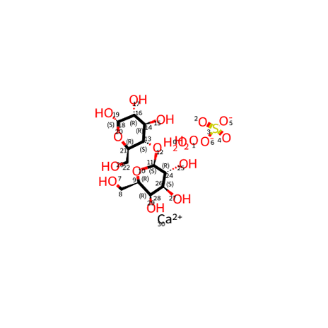 O.O.O=S(=O)([O-])[O-].OC[C@H]1O[C@@H](O[C@H]2[C@H](O)[C@@H](O)[C@@H](O)O[C@@H]2CO)[C@H](O)[C@@H](O)[C@H]1O.[Ca+2]